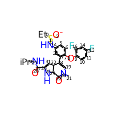 CC[S+]([O-])Nc1ccc(Oc2ccc(F)cc2F)c(C2=CN(C)C(=O)C3NC(C(=O)NC(C)C)=CC23)c1